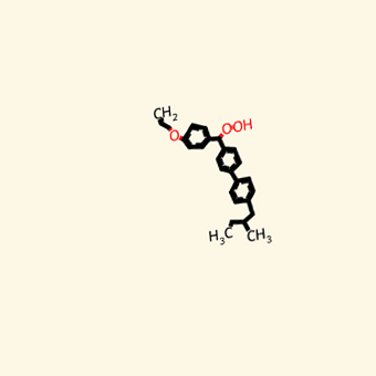 C=CCOc1ccc(C(OO)c2ccc(-c3ccc(CC(C)CC)cc3)cc2)cc1